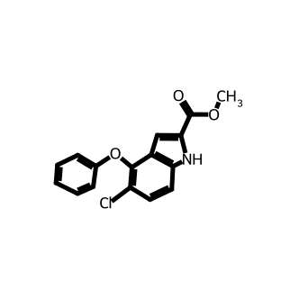 COC(=O)c1cc2c(Oc3ccccc3)c(Cl)ccc2[nH]1